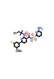 CC(C)COc1cc(F)cc(-c2ccc(C(=O)NS(=O)(=O)c3cccc(N)n3)c(N(O)C(C)(C)CC(C)C)n2)c1